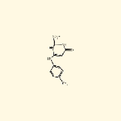 Cc1ccc(NC2=CC(=O)NC(S(=O)(=O)O)N2)cc1